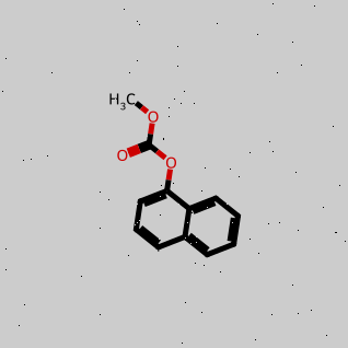 COC(=O)Oc1cc[c]c2ccccc12